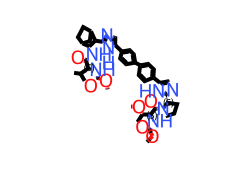 COC(=O)N[C@H](C(=O)NC1C2CCC(C2)C1c1ncc(-c2ccc(-c3ccc(-c4cnc([C@@H]5CCCN5C(=O)[C@@H](NC(=O)OC)C(C)OC)[nH]4)cc3)cc2)[nH]1)C(C)C